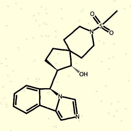 CS(=O)(=O)N1CCC2(CC[C@H]([C@@H]3c4ccccc4-c4cncn43)[C@H]2O)CC1